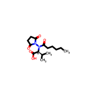 CCCCCC(=O)N([C@H](C(=O)O)C(C)C)N1C(=O)CCC1=O